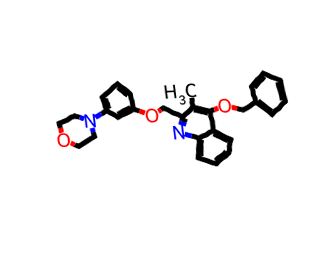 Cc1c(COc2cccc(N3CCOCC3)c2)nc2ccccc2c1OCc1ccccc1